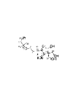 CCCCN(C(=O)C(C)(C)CCOC(C)(C)CC(C)C)C(CO)(CO)CO